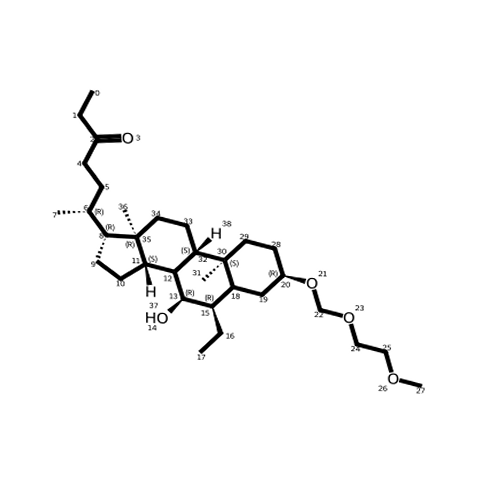 CCC(=O)CC[C@@H](C)[C@H]1CC[C@H]2C3[C@H](O)[C@H](CC)C4C[C@H](OCOCCOC)CC[C@]4(C)[C@H]3CC[C@]12C